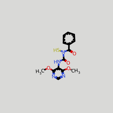 COc1ncnc(OC)c1NC(=O)N(S)C(=O)c1ccccc1